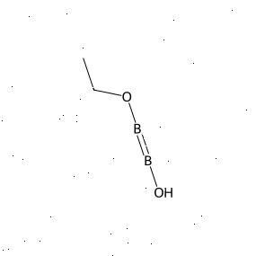 CCOB=BO